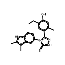 CCc1cc(-c2n[nH]c(=S)n2-c2ccc3[nH]c(C)c(C)c3c2)c(C)cc1O